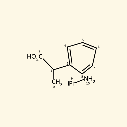 CC(C(=O)O)c1ccccc1.CC(C)N